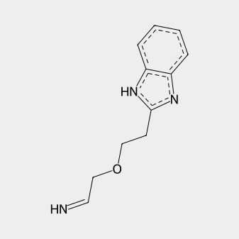 N=CCOCCc1nc2ccccc2[nH]1